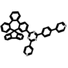 c1ccc2c(c1)-c1ccccc1C1(c3cc(-c4nc(-c5ccncc5)nc(-c5ccc(-c6ccncc6)cc5)n4)ccc3-2)c2ccccc2-c2ccccc21